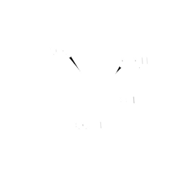 O=C(O)C[C@@H](C(=O)O)[C@H](O)C(=O)O